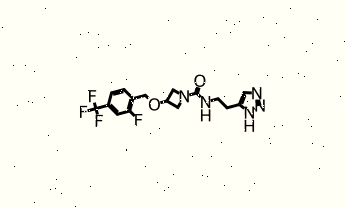 O=C(NCCc1cnn[nH]1)N1CC(OCc2ccc(C(F)(F)F)cc2F)C1